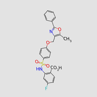 Cc1oc(-c2ccccc2)nc1COc1ccc(S(=O)(=O)Nc2cc(F)ccc2C(=O)O)cc1